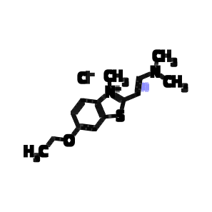 CCOc1ccc2c(c1)sc(/C=C/N(C)C)[n+]2C.[Cl-]